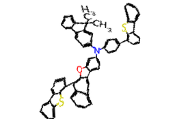 CC1(C)c2ccccc2-c2ccc(N(c3ccc(-c4cccc5c4sc4ccccc45)cc3)c3ccc4c(c3)oc3c(-c5cccc6c5sc5ccccc56)c5ccccc5cc34)cc21